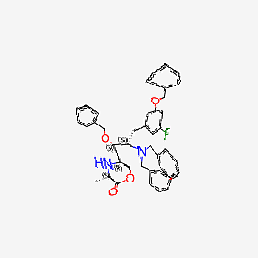 C[C@@H]1N[C@@H]([C@H](OCc2ccccc2)[C@H](Cc2cc(F)cc(OCc3ccccc3)c2)N(Cc2ccccc2)Cc2ccccc2)COC1=O